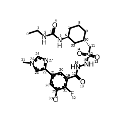 CCNC(=O)N[C@H]1CCC[C@H](CS(=O)(=O)NNC(=O)c2cc(-c3cn(C)cn3)cc(Cl)c2F)C1